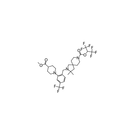 COC(=O)C1CCN(c2cc(C(F)(F)F)ccc2CN2CC3(CCN(C(=O)OC(C(F)(F)F)C(F)(F)F)CC3)CC2(C)C)CC1